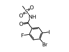 CS(=O)(=O)NC(=O)c1cc(I)c(Br)cc1F